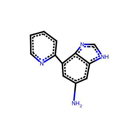 Nc1cc(-c2ccccn2)c2nc[nH]c2c1